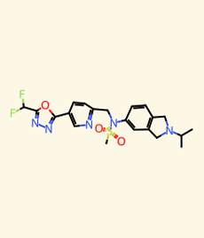 CC(C)N1Cc2ccc(N(Cc3ccc(-c4nnc(C(F)F)o4)cn3)S(C)(=O)=O)cc2C1